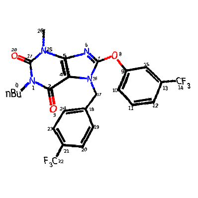 CCCCn1c(=O)c2c(nc(Oc3cccc(C(F)(F)F)c3)n2Cc2ccc(C(F)(F)F)cc2)n(C)c1=O